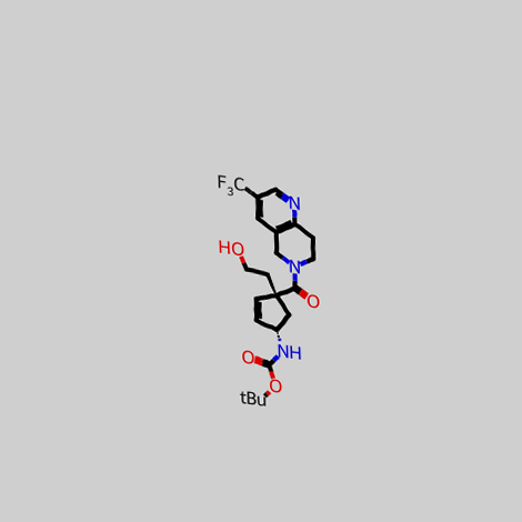 CC(C)(C)OC(=O)N[C@@H]1C=C[C@](CCO)(C(=O)N2CCc3ncc(C(F)(F)F)cc3C2)C1